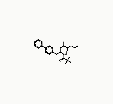 CCOC(=O)C(C)CC(Cc1ccc(-c2ccccc2)cc1)[AsH]C(=O)C(C)(C)C